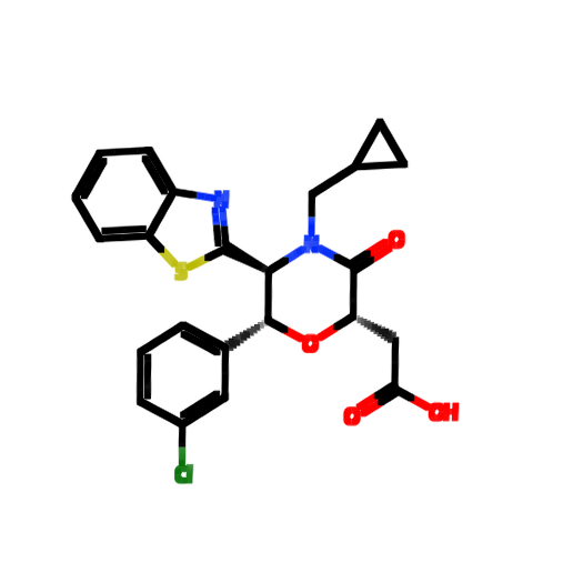 O=C(O)C[C@@H]1O[C@H](c2cccc(Cl)c2)[C@@H](c2nc3ccccc3s2)N(CC2CC2)C1=O